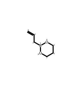 C=CCB1OCCCO1